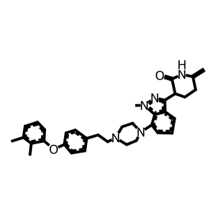 C=C1CCC(c2nn(C)c3c(N4CCN(CCc5ccc(Oc6cccc(C)c6C)cc5)CC4)cccc23)C(=O)N1